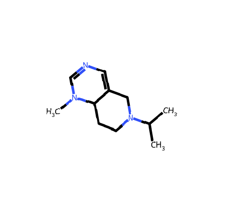 CC(C)N1CCC2C(=CN=CN2C)C1